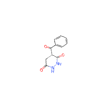 O=C1CC(C(=O)c2ccccc2)C(=O)NN1